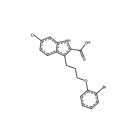 O=C(O)c1[nH]c2cc(Cl)ccc2c1CCCOc1ccccc1Br